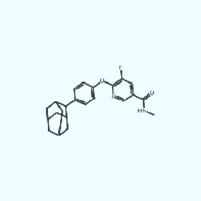 CNC(=O)c1cnc(Oc2ccc(C3C4CC5CC(C4)CC3C5)cc2)c(F)c1